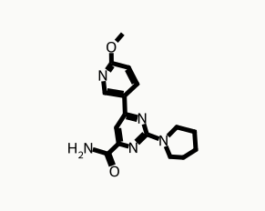 COc1ccc(-c2cc(C(N)=O)nc(N3CCCCC3)n2)cn1